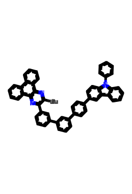 CC(C)(C)c1nc2c3ccccc3c3ccccc3c2nc1-c1cccc(-c2cccc(-c3ccc(-c4ccc5c(c4)c4ccccc4n5-c4ccccc4)cc3)c2)c1